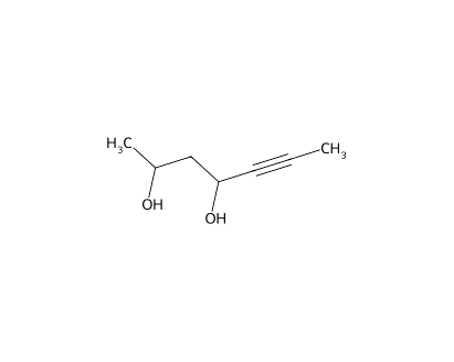 CC#CC(O)CC(C)O